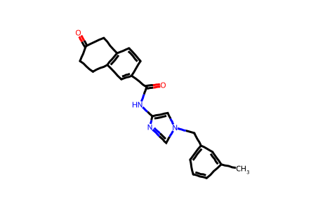 Cc1cccc(Cn2cnc(NC(=O)c3ccc4c(c3)CCC(=O)C4)c2)c1